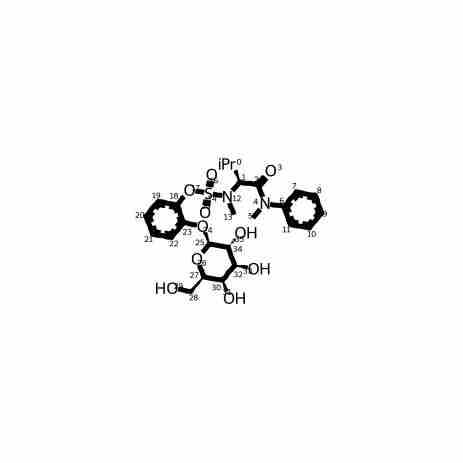 CC(C)[C@@H](C(=O)N(C)c1ccccc1)N(C)S(=O)(=O)Oc1ccccc1O[C@@H]1O[C@H](CO)[C@H](O)[C@H](O)[C@H]1O